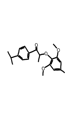 COc1cc(C)cc(OC)c1OC(C)C(=O)c1ccc(C(C)C)cc1